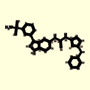 NS(=O)(=O)c1cccc(-c2n[nH]c3ccc(NC(=O)Nc4ccn(Cc5ccccc5)n4)cc23)c1